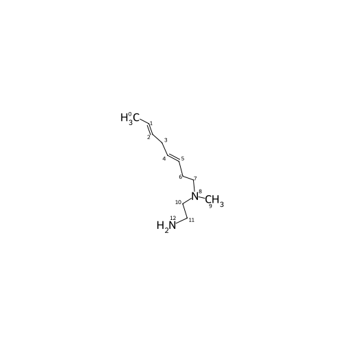 CC=CCC=CCCN(C)CCN